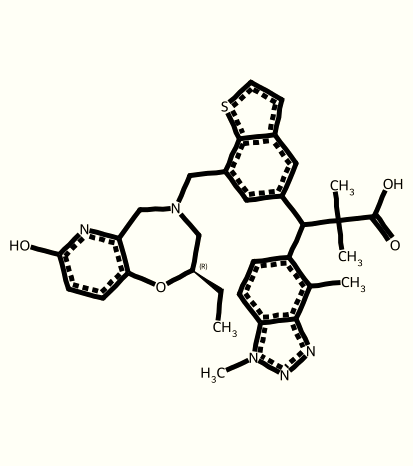 CC[C@@H]1CN(Cc2cc(C(c3ccc4c(nnn4C)c3C)C(C)(C)C(=O)O)cc3ccsc23)Cc2nc(O)ccc2O1